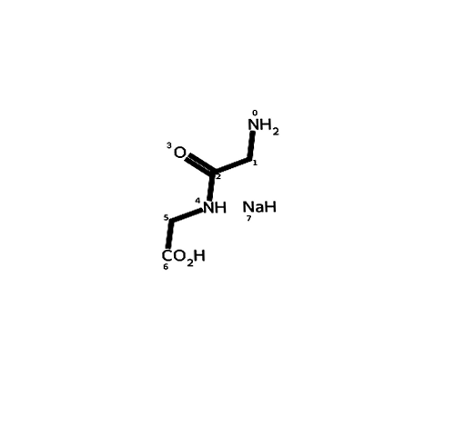 NCC(=O)NCC(=O)O.[NaH]